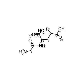 NCC(=O)NC(CC(F)C(=O)O)C(=O)O